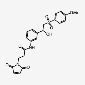 COc1ccc(S(=O)(=O)CC(O)c2cccc(NC(=O)CCN3C(=O)C=CC3=O)c2)cc1